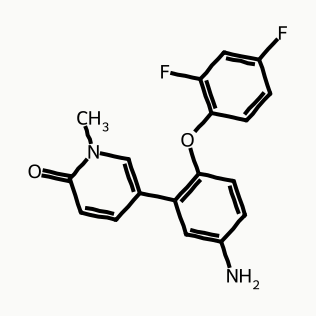 Cn1cc(-c2cc(N)ccc2Oc2ccc(F)cc2F)ccc1=O